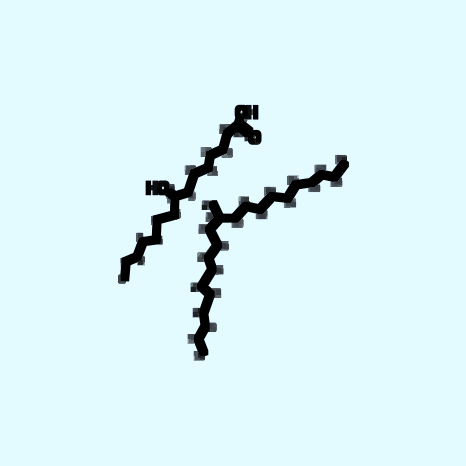 CCCCCCCC(O)CCCCCCC(=O)O.CCCCCCCCCCC(C)CCCCCCCCCC